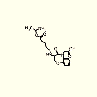 CC(N)OC(=O)CCCCNC1COc2ccccc2N(CC(=O)O)C1=O